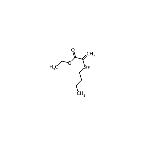 C=[C]([Sn][CH2]CCC)C(=O)OCC